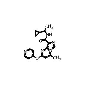 Cc1cc(Oc2ccncc2)nc2c(C(=O)NC(C)C3CC3)ncn12